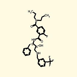 CCCN(CCC)C(=O)c1ccc(F)c(C(=O)N[C@@H](Cc2ccccc2)[C@H](O)CNCc2cccc(C(F)(F)F)c2)c1